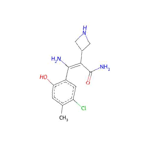 Cc1cc(O)c(C(N)=C(C(N)=O)C2CNC2)cc1Cl